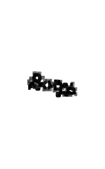 Cc1cccc2c1Oc1nnc(N3CCN(C(=O)c4ccccc4C(F)(F)F)CC3)cc1C(=O)N2